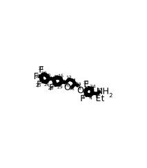 CCC(N)c1cc(F)c(OCC2CCC(c3ccc(-c4cc(F)c(F)c(F)c4)c(F)c3)OC2)c(F)c1